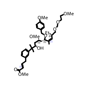 CC[C@H](/C=C(/C)[C@H](C[C@H](C[C@H](O)C(C)(C)c1cccc(C/C=C/C(=O)OC)c1)OC)OCc1ccc(OC)cc1)COCOCCOC